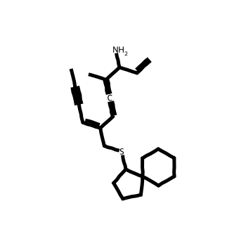 C=CC(N)C(C)=C=C/C(=C\C#CC)CSC1CCCC12CCCCC2